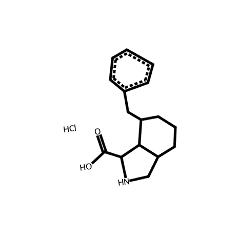 Cl.O=C(O)C1NCC2CCCC(Cc3ccccc3)C21